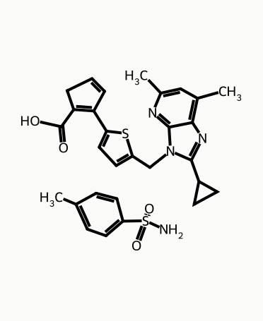 Cc1cc(C)c2nc(C3CC3)n(Cc3ccc(C4=C(C(=O)O)CC=C4)s3)c2n1.Cc1ccc(S(N)(=O)=O)cc1